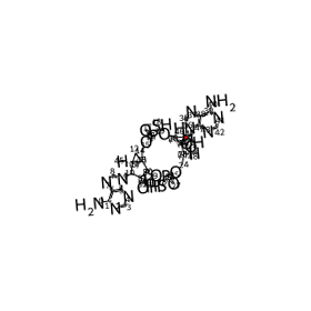 Nc1ncnc2c1ncn2C1[C@H]2C[C@]23CO[P@](=O)(S)O[C@@H]2[C@H](O)[C@@H](CO[P@@](=O)(S)O[C@H]3[C@H]1O)O[C@H]2n1cnc2c(N)ncnc21